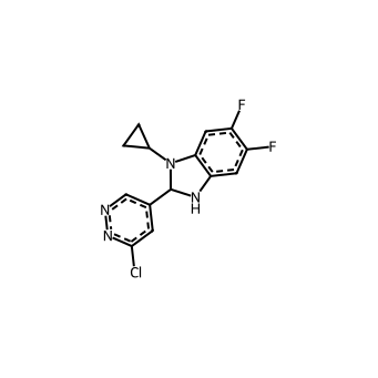 Fc1cc2c(cc1F)N(C1CC1)C(c1cnnc(Cl)c1)N2